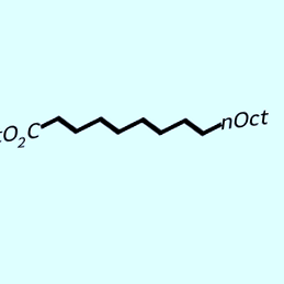 CCCCCCCCCCCCCCCCC(=O)OCC